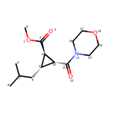 COC(=O)[C@@H]1[C@@H](CC(C)C)[C@H]1C(=O)N1CCOCC1